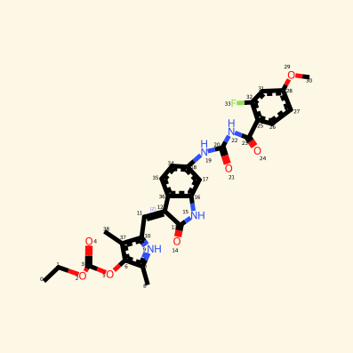 CCOC(=O)Oc1c(C)[nH]c(/C=C2\C(=O)Nc3cc(NC(=O)NC(=O)c4ccc(OC)cc4F)ccc32)c1C